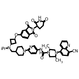 CC(C)N(CC1CCN(c2ccc(NC(=O)N3C[C@H](C)N(c4ccc(C#N)c5ncccc45)C[C@H]3C)cn2)CC1)[C@H]1C[C@H](Oc2ccc3c(c2)C(=O)N(C2CCC(=O)NC2=O)C3=O)C1